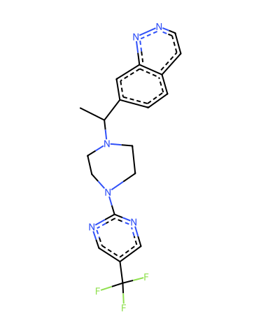 CC(c1ccc2ccnnc2c1)N1CCN(c2ncc(C(F)(F)F)cn2)CC1